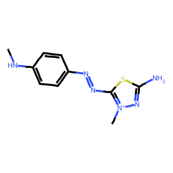 CNc1ccc(N=Nc2sc(N)n[n+]2C)cc1